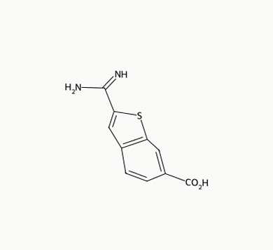 N=C(N)c1cc2ccc(C(=O)O)cc2s1